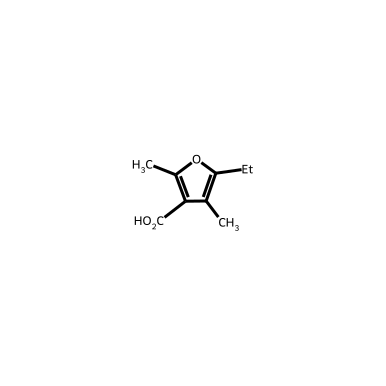 CCc1oc(C)c(C(=O)O)c1C